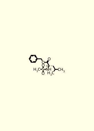 CC(C)C[C@H](NS(C)(=O)=O)C(=O)OCc1ccccc1